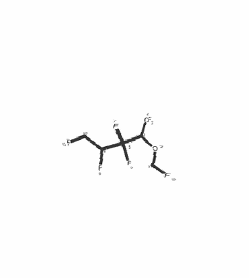 FCOC(C(F)(F)F)C(F)(F)C(F)CF